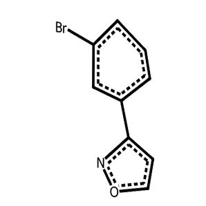 Brc1cccc(-c2ccon2)c1